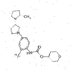 Cc1cc(N2CC[C@H](N3CCC[C@@H]3C)C2)ccc1NC(=O)OC1CCOCC1